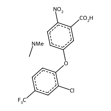 CNC.O=C(O)c1cc(Oc2ccc(C(F)(F)F)cc2Cl)ccc1[N+](=O)[O-]